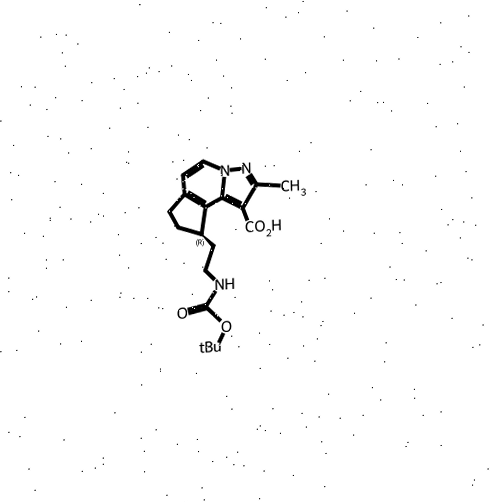 Cc1nn2ccc3c(c2c1C(=O)O)[C@@H](CCNC(=O)OC(C)(C)C)CC3